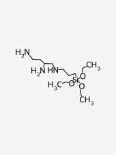 CCO[Si](CCCNCC(N)CCN)(OCC)OCC